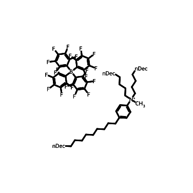 CCCCCCCCCCCCCCCCCCCc1ccc([N+](C)(CCCCCCCCCCCCCC)CCCCCCCCCCCCCC)cc1.Fc1c(F)c(F)c([B-](c2c(F)c(F)c(F)c(F)c2F)(c2c(F)c(F)c(F)c(F)c2F)c2c(F)c(F)c(F)c(F)c2F)c(F)c1F